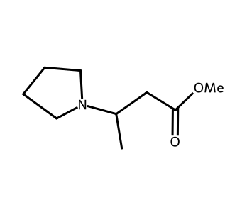 COC(=O)CC(C)N1CCCC1